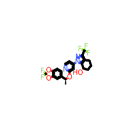 C[C@H](Oc1cc(-n2nc(C(F)(F)F)c3c2[C@H](O)CCC3)ccn1)c1ccc2c(c1)OC(F)(F)O2